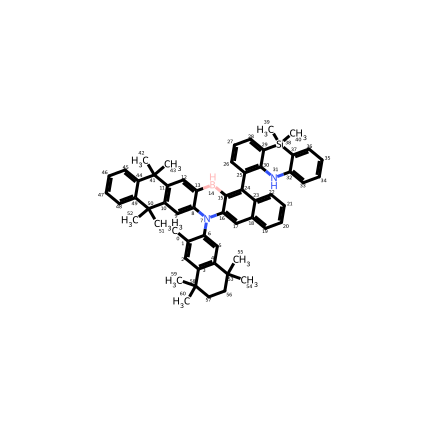 Cc1cc2c(cc1N1c3cc4c(cc3Bc3c1cc1ccccc1c3-c1cccc3c1Nc1ccccc1[Si]3(C)C)C(C)(C)c1ccccc1C4(C)C)C(C)(C)CCC2(C)C